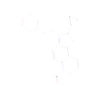 COC(=O)N1c2ccc3c(nc(C4CC4)n3CCN3CCOCC3)c2CC[C@@H]1C